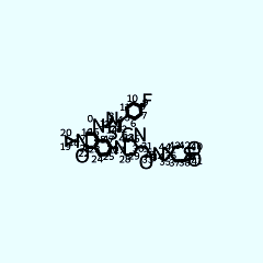 CN(c1nc(-c2ccc(F)cc2)c(C#N)s1)c1cn(C2CC2)c(=O)c2ccc(N3CCC(CC(=O)N4CC5(CCS(=O)(=O)CC5)C4)CC3)cc12